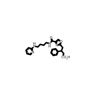 O=C(O)CC(Cc1nc(C(=O)NCCCCNc2ccccn2)co1)c1ccccc1